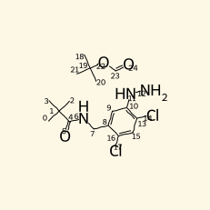 CC(C)(C)C(=O)NCc1cc(NN)c(Cl)cc1Cl.CC(C)(C)OC=O